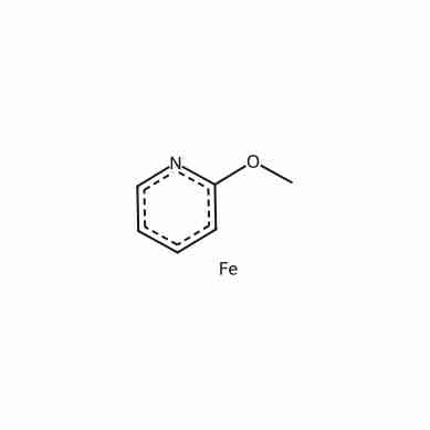 COc1ccccn1.[Fe]